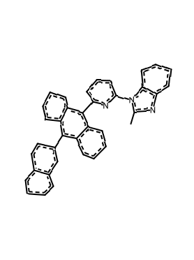 Cc1nc2ccccc2n1-c1cccc(-c2c3ccccc3c(-c3ccc4ccccc4c3)c3ccccc23)n1